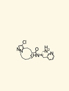 NC[C@H](Cc1cccnc1)NC(=O)C1CCc2c(Cl)cnn2CCCCS1